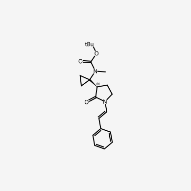 CN(C(=O)OC(C)(C)C)C1([C@H]2CCN(C=Cc3ccccc3)C2=O)CC1